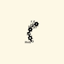 COC(=O)C1CCC(c2ncc(-c3ccc(NC(=O)Nc4c(Cl)cccc4C(F)(F)F)cc3)s2)CC1